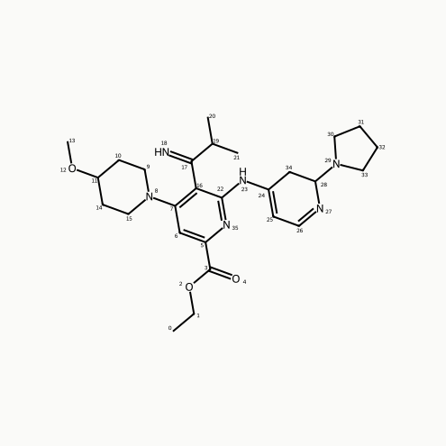 CCOC(=O)c1cc(N2CCC(OC)CC2)c(C(=N)C(C)C)c(NC2=CC=NC(N3CCCC3)C2)n1